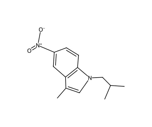 Cc1cn(CC(C)C)c2ccc([N+](=O)[O-])cc12